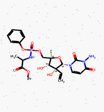 C=C[C@]1(O)[C@@H](n2ccc(=O)n(N)c2=O)O[C@](F)(COP(=O)(NC(C)C(=O)OC(C)C)Oc2ccccc2)[C@H]1O